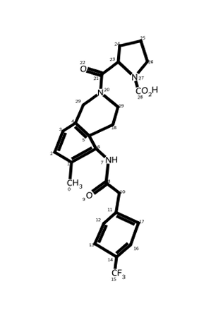 Cc1ccc2c(c1NC(=O)Cc1ccc(C(F)(F)F)cc1)CCN(C(=O)C1CCCN1C(=O)O)C2